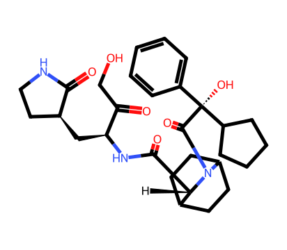 O=C1NCC[C@@H]1C[C@H](NC(=O)[C@H]1C2CCC(CC2)N1C(=O)[C@@](O)(c1ccccc1)C1CCCC1)C(=O)CO